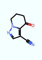 N#Cc1cnn2c1C(=O)CCC2